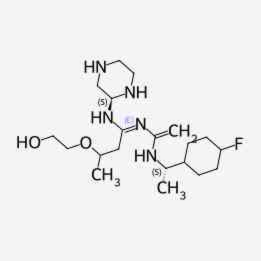 C=C(/N=C(\CC(C)OCCO)N[C@H]1CNCCN1)N[C@@H](C)C1CCC(F)CC1